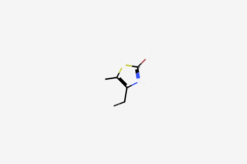 CCOC(=O)Cc1nc(Br)sc1C